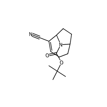 CC(C)(C)OC(=O)N1C2CCC=C(C#N)C1CC2